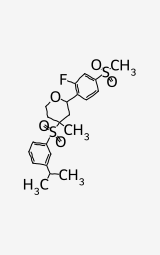 CC(C)c1cccc(S(=O)(=O)C2(C)CCOC(c3ccc(S(C)(=O)=O)cc3F)C2)c1